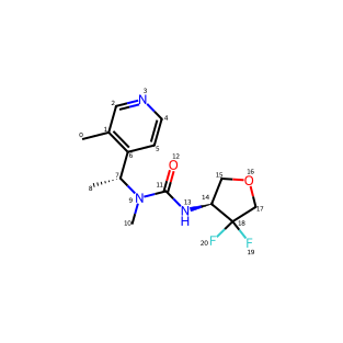 Cc1cnccc1[C@@H](C)N(C)C(=O)N[C@H]1COCC1(F)F